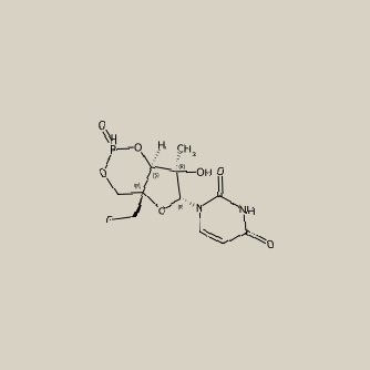 C[C@@]1(O)[C@@H]2O[PH](=O)OC[C@@]2(CF)O[C@H]1n1ccc(=O)[nH]c1=O